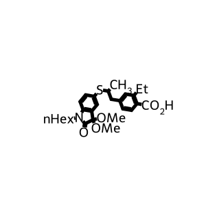 CCCCCCN1C(=O)C(OC)(OC)c2cc(SC(C)Cc3ccc(C(=O)O)c(CC)c3)ccc21